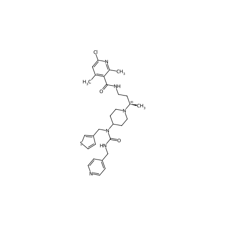 Cc1cc(Cl)nc(C)c1C(=O)NCC[C@@H](C)N1CCC(N(Cc2ccsc2)C(=O)NCc2ccncc2)CC1